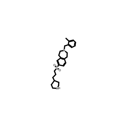 Cc1ccccc1CN1CCc2ccc(S(=O)(=O)CCCC3CCNCC3)cc2CC1